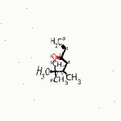 C=CC(=O)CC(C)C(C)(C)C